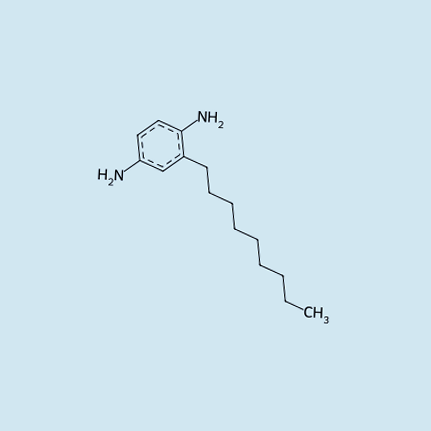 CCCCCCCCCc1cc(N)ccc1N